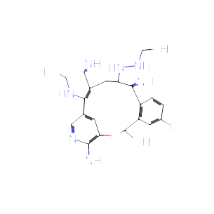 CCNNC1C/C(C=N)=C(/NCC)c2cnc(N)c(c2)OC(C)c2cc(F)ccc2C1=N